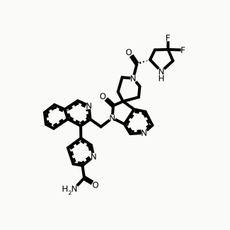 NC(=O)c1ccc(-c2c(CN3C(=O)C4(CCN(C(=O)[C@@H]5CC(F)(F)CN5)CC4)c4ccncc43)ncc3ccccc23)cn1